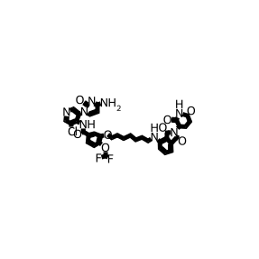 Nc1ccn(-c2cncc(Cl)c2NC(=O)c2ccc(OC(F)F)c(OCCCCCCCNc3cccc4c3C(=O)N(C3CCC(=O)NC3=O)C4=O)c2)c(=O)n1